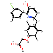 Cc1cc(F)cc(-c2nc(Cc3c(C)cc(OCC(=O)O)c(C)c3C)ccc2O)c1